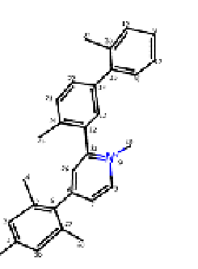 Cc1cc(C)c(-c2cc[n+](C)c(-c3cc(-c4ccccc4C)ccc3C)c2)c(C)c1